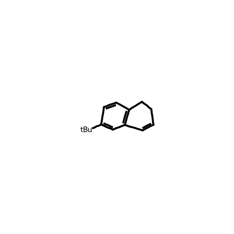 CC(C)(C)c1ccc2c(c1)C=CCC2